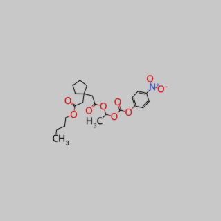 CCCCOC(=O)CC1(CC(=O)OC(C)OC(=O)Oc2ccc([N+](=O)[O-])cc2)CCCC1